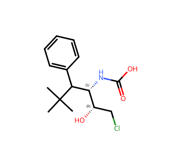 CC(C)(C)C(c1ccccc1)[C@H](NC(=O)O)[C@@H](O)CCl